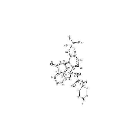 CN1CCC(NC(=O)N[C@@](Cc2ccccc2)(c2cccc(OC(F)(F)C(F)F)c2)c2ccc(Cl)cn2)CC1